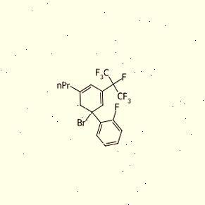 CCCC1=CC(C(F)(C(F)(F)F)C(F)(F)F)=CC(Br)(c2ccccc2F)[CH]1